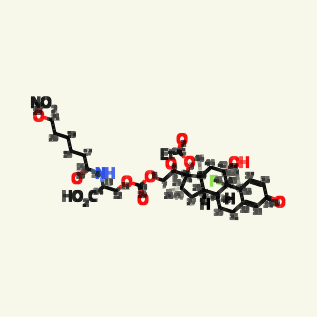 CCC(=O)O[C@]1(C(=O)COC(=O)OCC(NC(=O)CCCCCO[N+](=O)[O-])C(=O)O)[C@@H](C)C[C@H]2[C@@H]3CCC4=CC(=O)C=C[C@]4(C)[C@@]3(F)[C@@H](O)C[C@@]21C